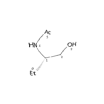 CC[C@@H](CO)NC(C)=O